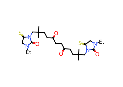 CCN1CC(=S)N(CC(C)(C)CCC(=O)CCC(=O)CCC(C)(C)CN2C(=O)N(CC)CC2=S)C1=O